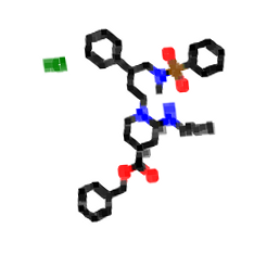 CCCCCN[C@H]1C[C@@H](C(=O)OCc2ccccc2)CCN1CCC(CN(C)S(=O)(=O)c1ccccc1)c1ccccc1.Cl